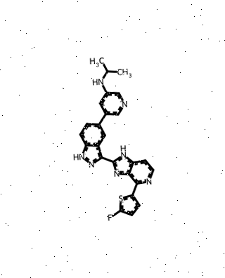 CC(C)Nc1cncc(-c2ccc3[nH]nc(-c4nc5c(-c6ccc(F)s6)nccc5[nH]4)c3c2)c1